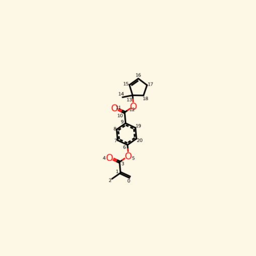 C=C(C)C(=O)Oc1ccc(C(=O)OC2(C)C=CCC2)cc1